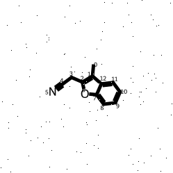 Cc1c(CC#N)oc2ccccc12